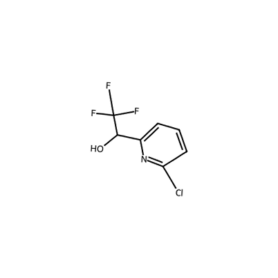 OC(c1cccc(Cl)n1)C(F)(F)F